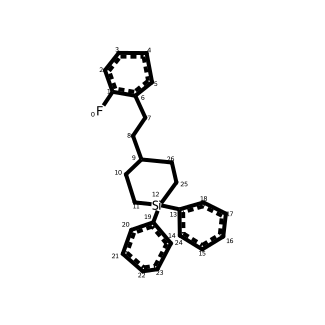 Fc1ccccc1CCC1CC[Si](c2ccccc2)(c2ccccc2)CC1